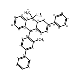 Cc1cc(-c2ccccc2)ccc1N1C2=CC=C(c3ccccc3)CC2C(C)(C)c2ccccc21